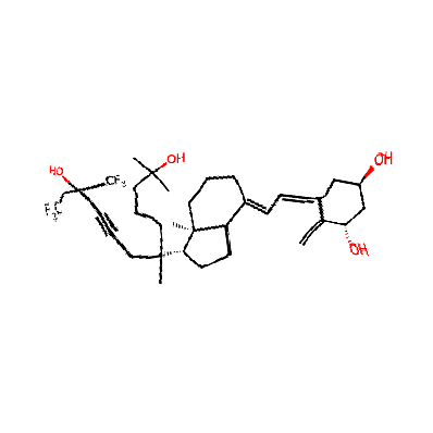 C=C1/C(=C\C=C2/CCC[C@@]3(C)C2CC[C@@H]3C(C)(CC#CC(O)(C(F)(F)F)C(F)(F)F)CCCC(C)(C)O)C[C@@H](O)C[C@@H]1O